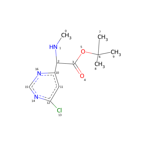 CNC(C(=O)OC(C)(C)C)c1cc(Cl)ncn1